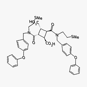 CSCCN(Cc1ccc(Oc2ccccc2)cc1)C(=O)[C@H]1[C@H](C(=O)O)[C@H](C(=O)N(CCSC)Cc2ccc(Oc3ccccc3)cc2)[C@H]1C(=O)O